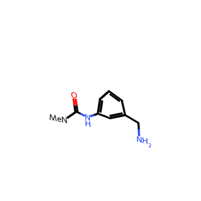 CNC(=O)Nc1cccc(CN)c1